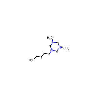 CCCCCN1CN(C)CN(C)C1